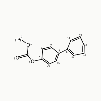 CCCOC(=O)Oc1ccc(-c2ccccc2)cc1